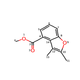 COC(=O)c1cccc2oc(C)c(C)c12